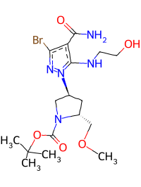 COC[C@H]1C[C@H](n2nc(Br)c(C(N)=O)c2NCCO)CN1C(=O)OC(C)(C)C